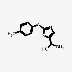 Cc1ccc(Nc2ncc(C(C)N)s2)cc1